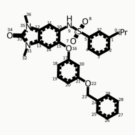 CC(C)c1cccc(S(=O)(=O)Nc2cc3c(cc2Oc2cccc(OCc4ccccc4)c2)n(C)c(=O)n3C)c1